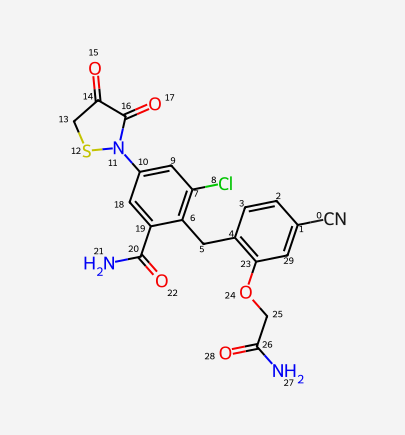 N#Cc1ccc(Cc2c(Cl)cc(N3SCC(=O)C3=O)cc2C(N)=O)c(OCC(N)=O)c1